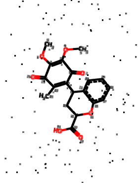 COC1=C(OC)C(=O)C(C2CC(C(=O)O)Oc3ccccc32)=C(C)C1=O